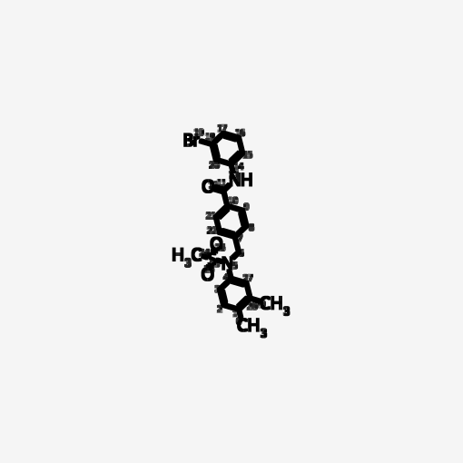 Cc1ccc(N(Cc2ccc(C(=O)Nc3cccc(Br)c3)cc2)S(C)(=O)=O)cc1C